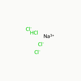 Cl.[Cl-].[Cl-].[Cl-].[Na+3]